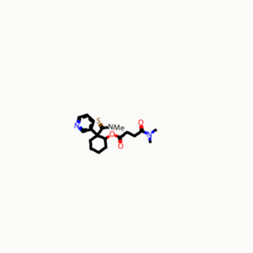 CNC(=S)C1(c2cccnc2)CCCCC1OC(=O)CCC(=O)N(C)C